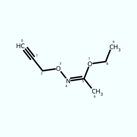 C#CCON=C(C)OCC